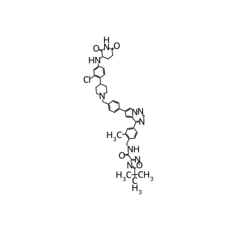 Cc1cc(-c2ncnn3cc(-c4ccc(CN5CCC(c6ccc(NC7CCC(=O)NC7=O)cc6Cl)CC5)cc4)cc23)ccc1CNC(=O)c1noc(C(C)(C)C)n1